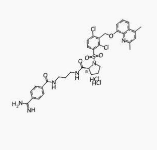 Cc1cc(C)c2cccc(OCc3c(Cl)ccc(S(=O)(=O)N4CCC[C@H]4C(=O)NCCCNC(=O)c4ccc(C(=N)N)cc4)c3Cl)c2n1.Cl.Cl